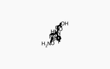 NC(=O)CNc1nccc(-c2[nH]c(C3OCC(CO)CO3)nc2-c2ccc(F)cc2)n1